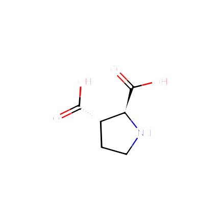 O=C(O)[C@H]1CCN[C@@H]1C(=O)O